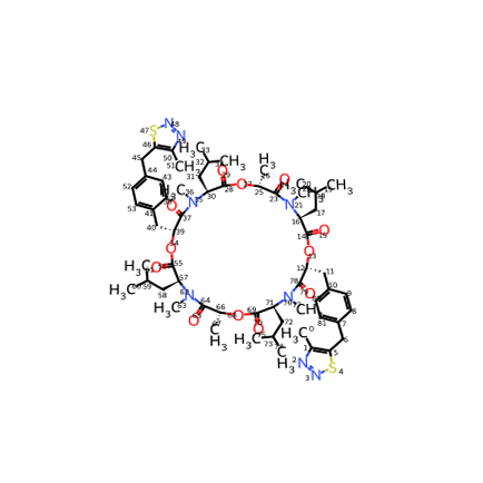 Cc1nnsc1Cc1ccc(C[C@H]2OC(=O)[C@H](CC(C)C)N(C)C(=O)[C@@H](C)OC(=O)[C@H](CC(C)C)N(C)C(=O)[C@@H](Cc3ccc(Cc4snnc4C)cc3)OC(=O)[C@H](CC(C)C)N(C)C(=O)[C@@H](C)OC(=O)[C@H](CC(C)C)N(C)C2=O)cc1